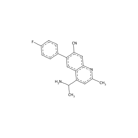 Cc1cc(C(C)N)c2cc(-c3ccc(F)cc3)c(C#N)cc2n1